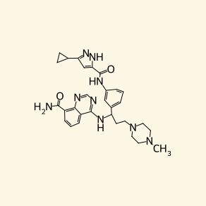 CN1CCN(CCC(Nc2ncnc3c(C(N)=O)cccc23)c2cccc(NC(=O)c3cc(C4CC4)n[nH]3)c2)CC1